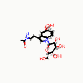 CC(=O)NCCc1cn([C@@H]2O[C@H](CO)[C@@H](O)[C@H](O)[C@H]2O)c2ccc(O)cc12